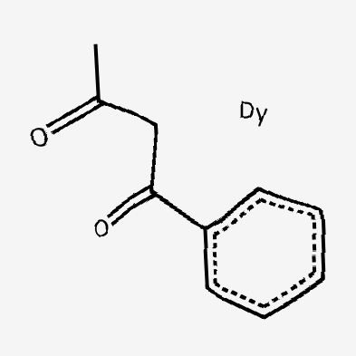 CC(=O)CC(=O)c1ccccc1.[Dy]